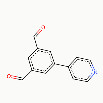 O=Cc1cc(C=O)cc(-c2ccncc2)c1